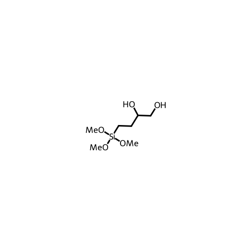 CO[Si](CCC(O)CO)(OC)OC